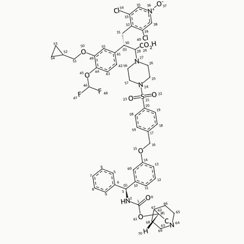 O=C(N[C@@H](c1ccccc1)c1cccc(OCc2ccc(S(=O)(=O)N3CCN(C(C(=O)O)[C@@H](Cc4c(Cl)c[n+]([O-])cc4Cl)c4ccc(OC(F)F)c(OCC5CC5)c4)CC3)cc2)c1)O[C@H]1CN2CCC1CC2